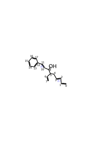 C=C/C=C/CC(C=C)C(O)/C=C/c1ccccc1